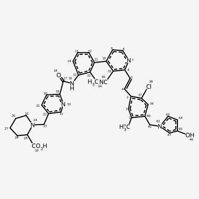 Cc1cc(C=Cc2nccc(-c3cccc(NC(=O)c4ccc(CN5CCCCC5C(=O)O)cn4)c3C)c2C#N)c(Cl)cc1Cn1ccc(O)c1